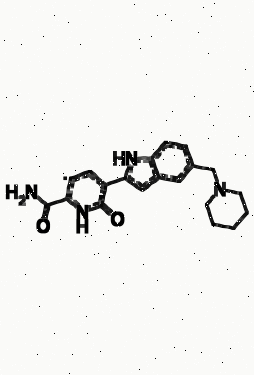 NC(=O)c1[c]cc(-c2cc3cc(CN4CCCCC4)ccc3[nH]2)c(=O)[nH]1